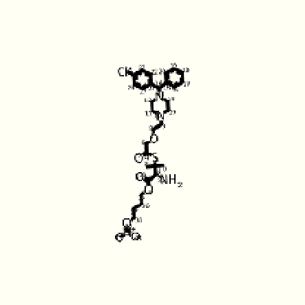 CC(C)(SC(=O)COCCN1CCN(C(c2ccccc2)c2ccc(Cl)cc2)CC1)[C@H](N)C(=O)OCCCCO[N+](=O)[O-]